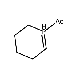 CC(=O)[PH]1=CCCCC1